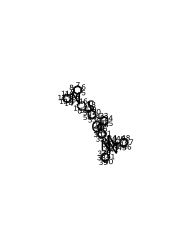 C1=CC(n2c3ccccc3c3ccccc32)Cc2sc3cc(-c4cccc5c4oc4ccc(-c6nc(-c7ccccc7)nc(-c7ccccc7)n6)cc45)ccc3c21